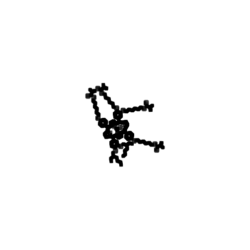 C=C(C)C(=O)OCCCCCCOc1ccc(-c2c3nc(c(-c4ccc(OCC(CC)CCCC)c(OCC(CC)CCCC)c4)c4ccc5c(-c6ccc(OCCCCCCOC(=O)C(=C)C)cc6)c6nc(c(-c7ccc(OCCCCCCOC(=O)C(=C)C)c(OCCCCCCOC(=O)C(=C)C)c7)c7ccc2n7c(=O)n54)C=C6)C=C3)cc1